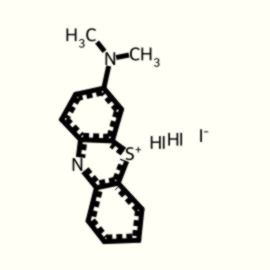 CN(C)c1ccc2nc3ccccc3[s+]c2c1.I.I.[I-]